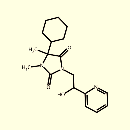 CN1C(=O)N(CC(O)c2ccccn2)C(=O)C1(C)C1CCCCC1